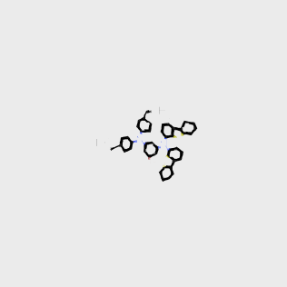 C=Cc1ccc(N(c2ccc(C=C)cc2)c2cc(Br)cc(N(c3cccc4c3sc3ccccc34)c3cccc4c3sc3ccccc34)c2)cc1